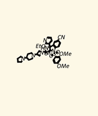 CCOc1ncccc1[C@]1(NC(=O)N2CC(N3CCC(N4CCCC4)CC3)C2)C(=O)N(S(=O)(=O)c2ccc(OC)cc2OC)c2ccc(C#N)cc21